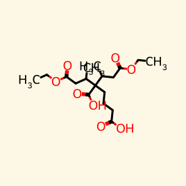 CCOC(=O)CC(C)C(CCCC(=O)O)(C(=O)O)C(C)CC(=O)OCC